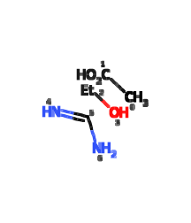 CC(=O)O.CCO.N=CN